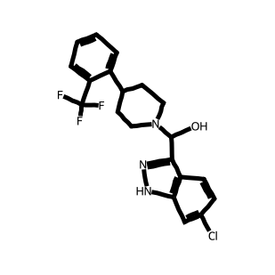 OC(c1n[nH]c2cc(Cl)ccc12)N1CCC(c2ccccc2C(F)(F)F)CC1